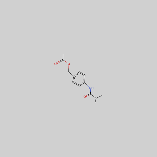 CC(=O)OCc1ccc(NC(=O)C(C)C)cc1